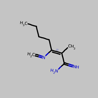 C=N/C(CCCC)=C(/C)C(=N)N